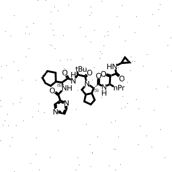 CCCC(NC(=O)[C@@H]1C2CCCC2CN1C(=O)C(NC(=O)[C@@H](NC(=O)c1cnccn1)C1CCCCC1)C(C)(C)C)C(=O)C(=O)NC1CC1